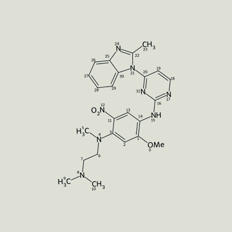 COc1cc(N(C)CCN(C)C)c([N+](=O)[O-])cc1Nc1nccc(-n2c(C)nc3ccccc32)n1